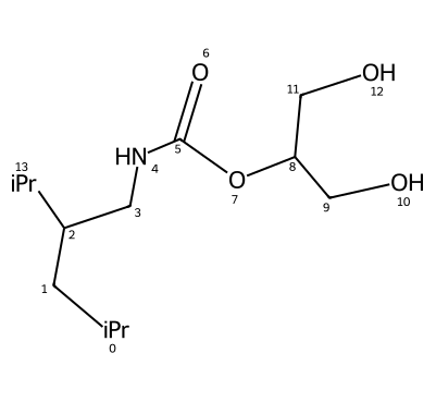 CC(C)CC(CNC(=O)OC(CO)CO)C(C)C